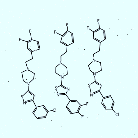 Fc1ccc(CCN2CCN(c3nc(-c4ccc(Cl)cc4)ns3)CC2)cc1F.Fc1ccc(CCN2CCN(c3nc(-c4ccc(F)c(F)c4)ns3)CC2)cc1F.Fc1ccc(CCN2CCN(c3nc(-c4cccc(Cl)c4)ns3)CC2)cc1F